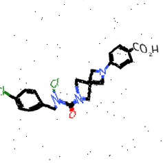 O=C(O)c1ccc(N2CC3(CN(C(=O)N(Cl)Cc4ccc(Cl)cc4)C3)C2)cc1